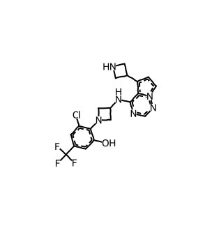 Oc1cc(C(F)(F)F)cc(Cl)c1N1CC(Nc2ncnn3ccc(C4CNC4)c23)C1